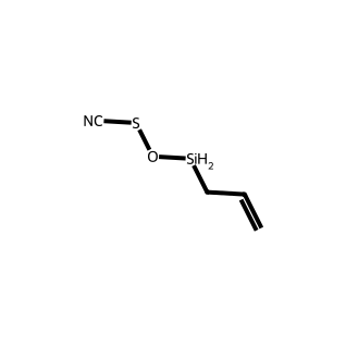 C=CC[SiH2]OSC#N